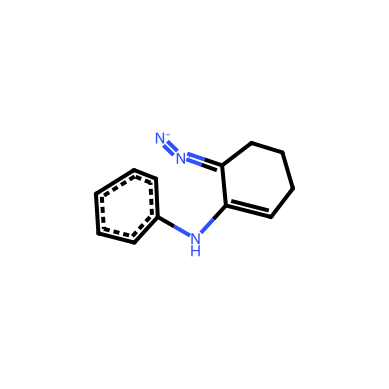 [N-]=[N+]=C1CCCC=C1Nc1ccccc1